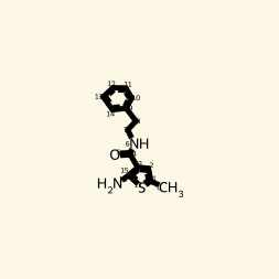 Cc1cc(C(=O)NCCc2ccccc2)c(N)s1